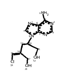 Nc1ncnc2c1ncn2C(CO)C/C(=C/Cl)CO